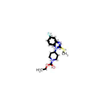 CCOC(=O)N1CCC(n2c(SC)nc3cc(F)ccc32)CC1